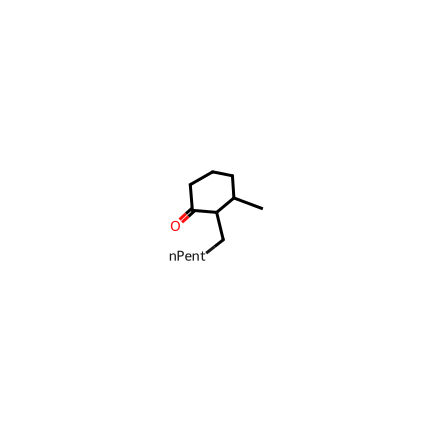 CCCCCCC1C(=O)CCCC1C